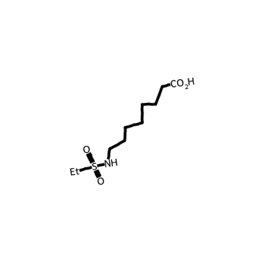 CCS(=O)(=O)NCCCCCCCC(=O)O